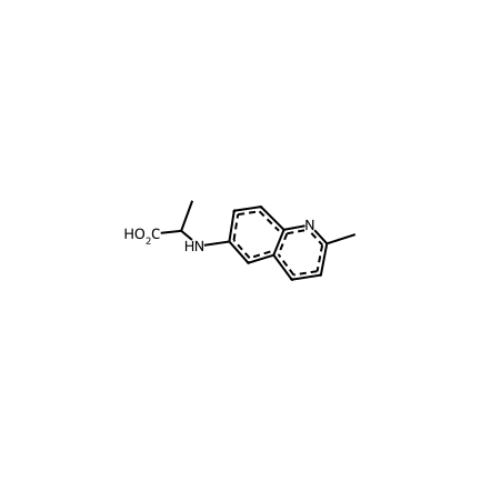 Cc1ccc2cc(NC(C)C(=O)O)ccc2n1